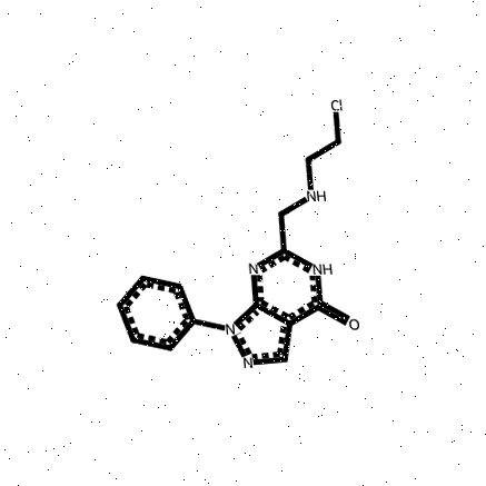 O=c1[nH]c(CNCCCl)nc2c1cnn2-c1ccccc1